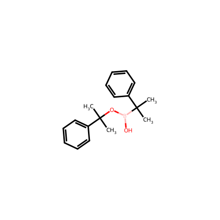 CC(C)(OB(O)C(C)(C)c1ccccc1)c1ccccc1